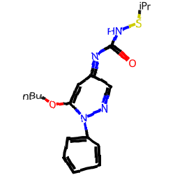 CCCCOc1cc(=NC(=O)NSC(C)C)cnn1-c1ccccc1